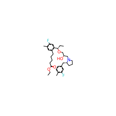 CCOC(=O)CCCCc1cc(C)c(F)cc1[C@@H](CC)OC[C@H](O)CN1CCC[C@H]1Cc1ccc(C)c(F)c1